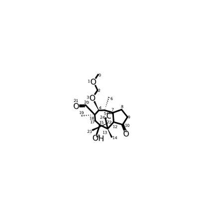 COCO[C@H]1[C@H](C)C23CCC(=O)C2[C@](C)(C(O)C[C@@]1(C)C=O)[C@H](C)CC3